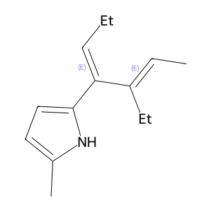 C/C=C(CC)/C(=C\CC)c1ccc(C)[nH]1